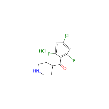 Cl.O=C(c1c(F)cc(Cl)cc1F)C1CCNCC1